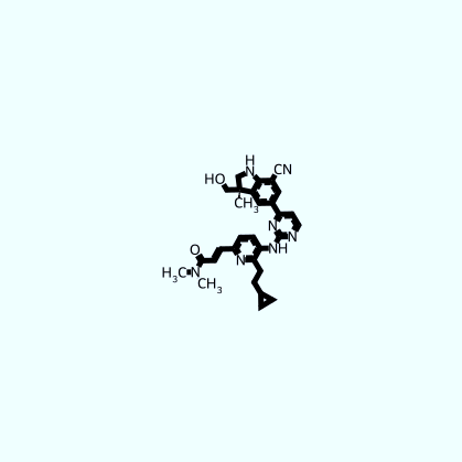 CN(C)C(=O)/C=C/c1ccc(Nc2nccc(-c3cc(C#N)c4c(c3)[C@@](C)(CO)CN4)n2)c(CCC2CC2)n1